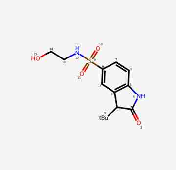 CC(C)(C)C1C(=O)Nc2ccc(S(=O)(=O)NCCO)cc21